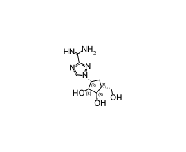 N=C(N)c1ncn([C@@H]2C[C@H](CO)[C@@H](O)[C@H]2O)n1